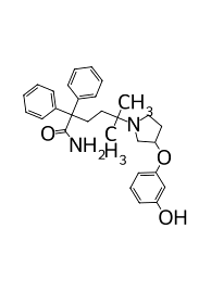 CC(C)(CCC(C(N)=O)(c1ccccc1)c1ccccc1)N1CCC(Oc2cccc(O)c2)C1